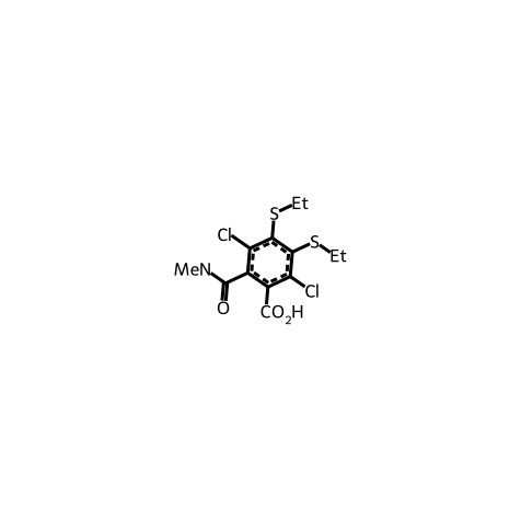 CCSc1c(Cl)c(C(=O)O)c(C(=O)NC)c(Cl)c1SCC